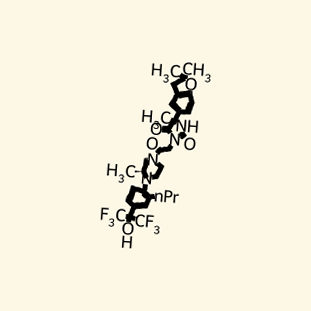 CCCc1cc(C(O)(C(F)(F)F)C(F)(F)F)ccc1N1CCN(C(=O)CN2C(=O)NC(C)(c3ccc4c(c3)CC(C)(C)O4)C2=O)C[C@H]1C